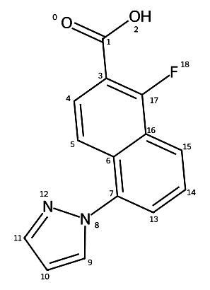 O=C(O)c1ccc2c(-n3cccn3)cccc2c1F